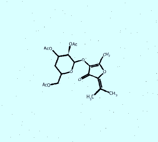 CC(=O)OCC1CC(OC(C)=O)[C@@H](OC(C)=O)C(OC2=C(C)OC(=C(C)C)C2=O)O1